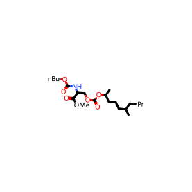 CCCCOC(=O)NC(COC(=O)OC(C)CCCC(C)CC(C)C)C(=O)OC